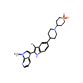 CC(C)c1c(-c2cn(C)c3ncccc23)[nH]c2ccc(C3CCN(C4CCS(=O)(=O)CC4)CC3)cc12